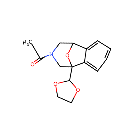 CC(=O)N1CC2OC(C3OCCO3)(C1)c1ccccc12